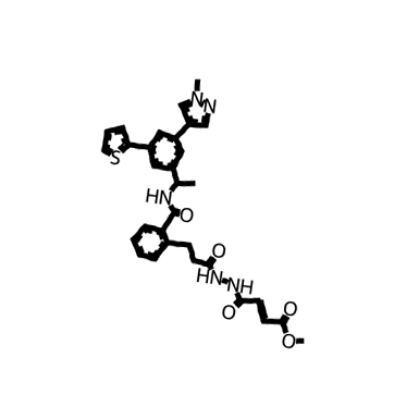 COC(=O)/C=C/C(=O)NNC(=O)CCc1ccccc1C(=O)NC(C)c1cc(-c2cnn(C)c2)cc(-c2cccs2)c1